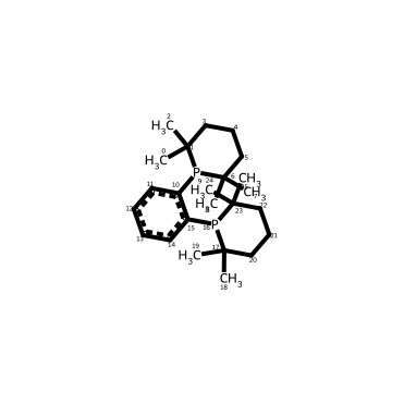 CC1(C)CCCC(C)(C)P1c1ccccc1P1C(C)(C)CCCC1(C)C